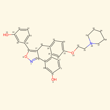 Oc1cccc(-c2noc(-c3cccc(O)c3)c2Cc2ccc(OCCN3CCCCC3)cc2)c1